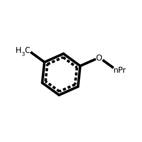 CCCOc1cccc(C)c1